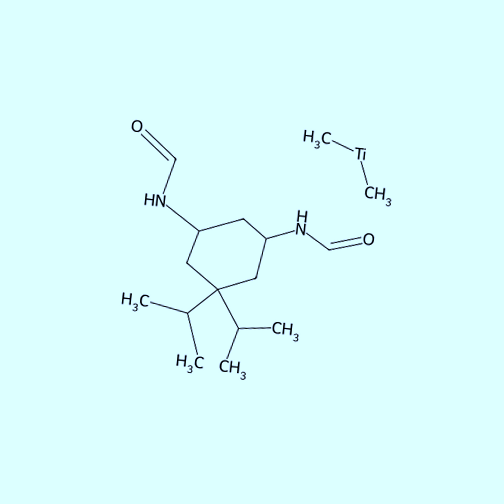 CC(C)C1(C(C)C)CC(NC=O)CC(NC=O)C1.[CH3][Ti][CH3]